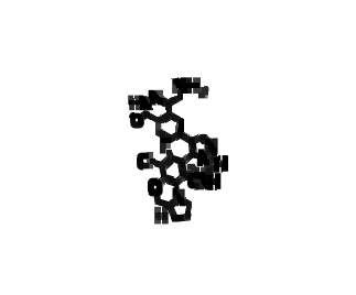 [2H]C([2H])([2H])n1ncc(-c2ccc3c(=O)[nH]nc(CN)c3c2)c1-c1c(F)c(Cl)c2c(c1C#N)N1CCC[C@H]1CO2